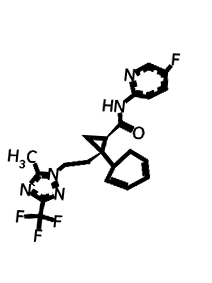 Cc1nc(C(F)(F)F)nn1CC[C@@]1(C2C=CC=CC2)C[C@H]1C(=O)Nc1ccc(F)cn1